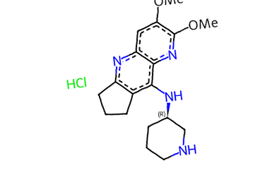 COc1cc2nc3c(c(N[C@@H]4CCCNC4)c2nc1OC)CCC3.Cl